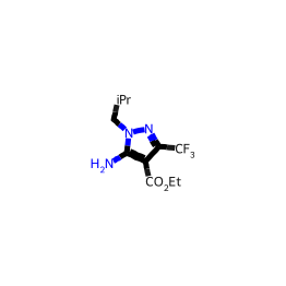 CCOC(=O)c1c(C(F)(F)F)nn(CC(C)C)c1N